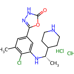 Cc1cc(-c2n[nH]c(=O)o2)cc(N[C@@H](C)C2CCNCC2)c1Cl.Cl.Cl